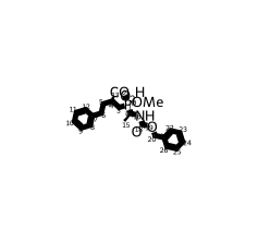 COP(=O)(C[C@@H](CCc1ccccc1)C(=O)O)[C@H](C)NC(=O)OCc1ccccc1